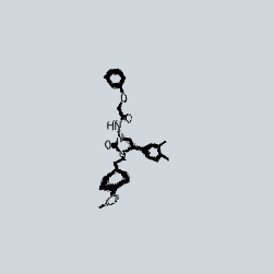 COc1ccc(CCN2C(=O)N(NC(=O)COc3ccccc3)CC2c2ccc(C)c(C)c2)cc1